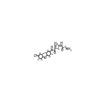 NCC(=O)N[C@H]1CN[C@H](C(=O)Nc2ccc(Oc3ccc(Cl)cc3)cc2)C1